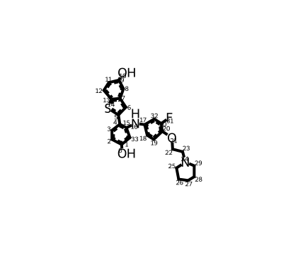 Oc1ccc(-c2cc3cc(O)ccc3s2)c(Nc2ccc(OCCN3CCCCC3)c(F)c2)c1